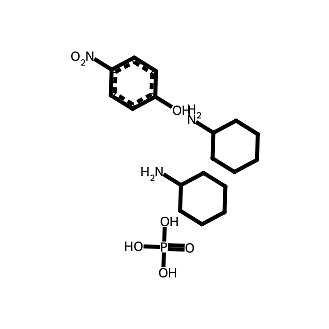 NC1CCCCC1.NC1CCCCC1.O=P(O)(O)O.O=[N+]([O-])c1ccc(O)cc1